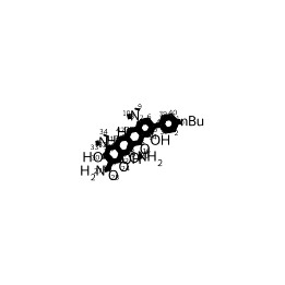 CCCCc1ccc(-c2cc(N(C)C)c3c(c2O)C(=O)C2=C(ON)[C@]4(O)C(=O)C(C(N)=O)=C(O)[C@@H](N(C)C)[C@@H]4C[C@@H]2C3)cc1